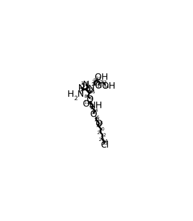 Nc1ncnc2c1c(COC(=O)NCCOCCOCCCCCCCl)cn2[C@H]1CC(O)[C@@H](CO)O1